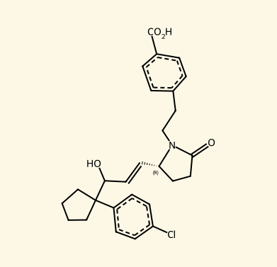 O=C(O)c1ccc(CCN2C(=O)CC[C@@H]2C=CC(O)C2(c3ccc(Cl)cc3)CCCC2)cc1